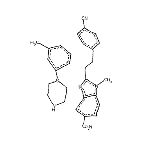 Cc1cccc(N2CCNCC2)c1.Cn1c(CCc2ccc(C#N)cc2)nc2cc(C(=O)O)ccc21